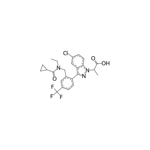 CCN(Cc1cc(C(F)(F)F)ccc1-c1nn(C(C)C(=O)O)c2ccc(Cl)cc12)C(=O)C1CC1